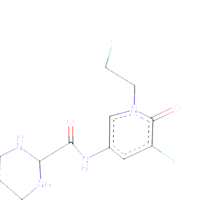 O=C(Nc1cc(F)c(=O)n(CCF)c1)C1NCCCN1